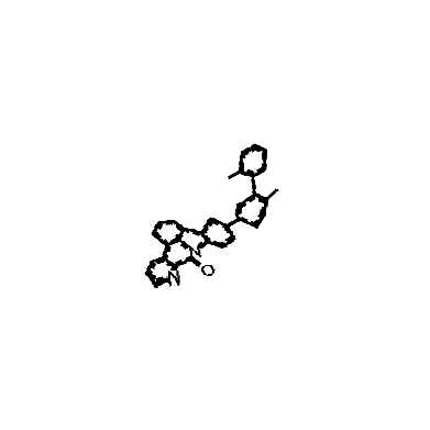 Cc1ccccc1-c1cc(-c2ccc3c(c2)c2cccc4c5cccnc5c(=O)n3c42)ccc1C